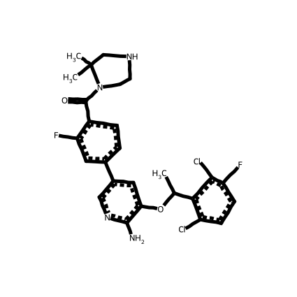 CC(Oc1cc(-c2ccc(C(=O)N3CCNCC3(C)C)c(F)c2)cnc1N)c1c(Cl)ccc(F)c1Cl